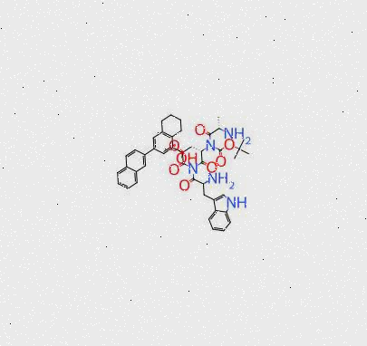 C[C@H](N)C(=O)N(C(=O)OC(C)(C)C)[C@@H](CC(=O)O)C(=O)N(C(=O)Cc1cc(-c2ccc3ccccc3c2)cc2c1CCCC2)C(=O)[C@@H](N)Cc1c[nH]c2ccccc12